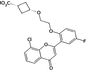 O=c1cc(-c2cc(F)ccc2OCCO[C@H]2C[C@@H](C(=O)O)C2)oc2c(Cl)cccc12